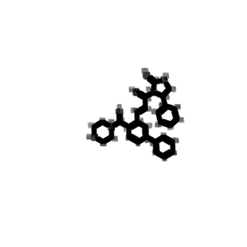 O=C(c1ccc(-c2ccccc2)cc1C=CC(=O)N1C(=O)OCC1c1ccccc1)N1CCOCC1